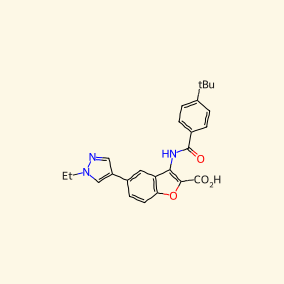 CCn1cc(-c2ccc3oc(C(=O)O)c(NC(=O)c4ccc(C(C)(C)C)cc4)c3c2)cn1